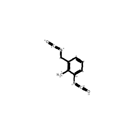 Cc1c(CN=C=O)cccc1N=C=O